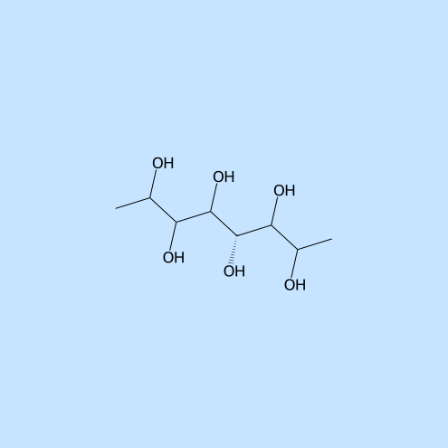 CC(O)C(O)C(O)[C@@H](O)C(O)C(C)O